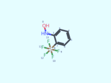 ONc1ccccc1S(F)(F)(F)(F)F